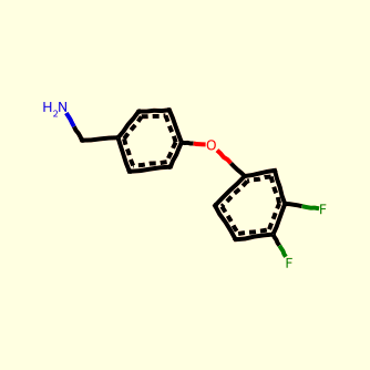 NCc1ccc(Oc2ccc(F)c(F)c2)cc1